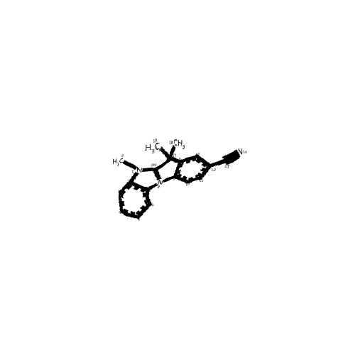 CN1c2ccccc2N2c3ccc(C#N)cc3C(C)(C)C12